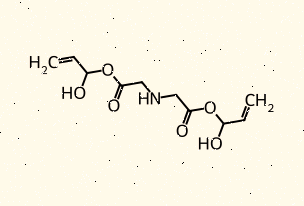 C=CC(O)OC(=O)CNCC(=O)OC(O)C=C